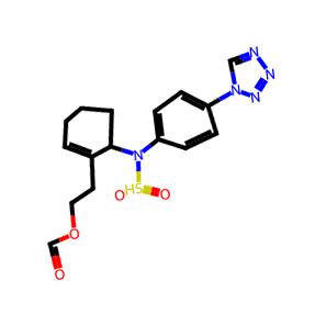 O=COCCC1=CCCCC1N(c1ccc(-n2cnnn2)cc1)[SH](=O)=O